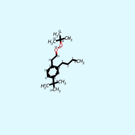 CCCCc1cc(C(C)(C)C)ccc1CCOOC(C)(C)C